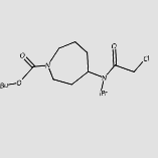 CC(C)N(C(=O)CCl)C1CCCN(C(=O)OC(C)(C)C)CC1